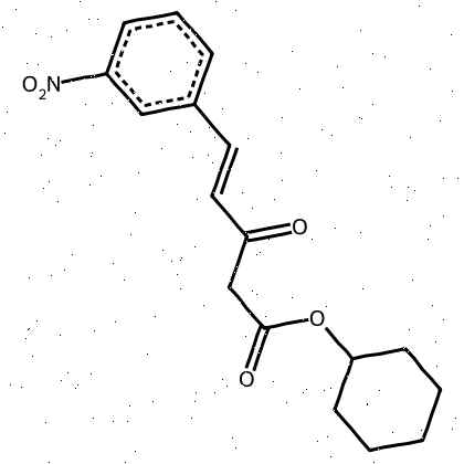 O=C(C=Cc1cccc([N+](=O)[O-])c1)CC(=O)OC1CCCCC1